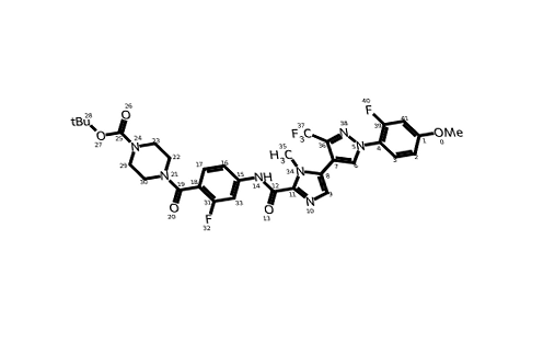 COc1ccc(-n2cc(-c3cnc(C(=O)Nc4ccc(C(=O)N5CCN(C(=O)OC(C)(C)C)CC5)c(F)c4)n3C)c(C(F)(F)F)n2)c(F)c1